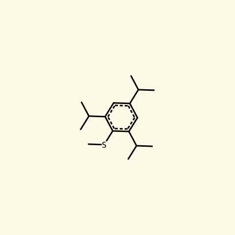 CSc1c(C(C)C)cc(C(C)C)cc1C(C)C